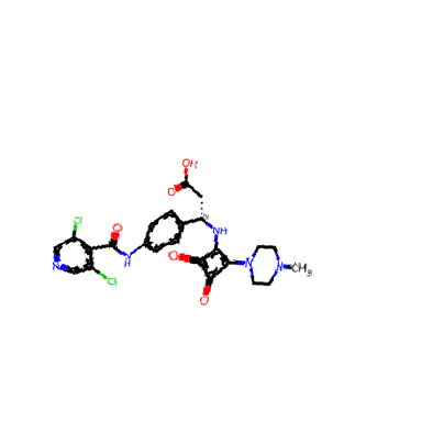 CN1CCN(c2c(N[C@@H](CC(=O)O)c3ccc(NC(=O)c4c(Cl)cncc4Cl)cc3)c(=O)c2=O)CC1